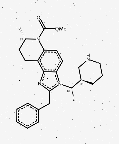 COC(=O)N1c2ccc3c(nc(Cc4ccccc4)n3[C@@H](C)[C@@H]3CCCNC3)c2CC[C@@H]1C